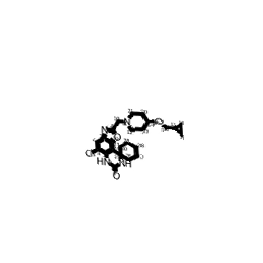 O=C1Nc2c(Cl)cc3nc(CN4CCC(OCC5CC5)CC4)oc3c2C2(CCCCC2)N1